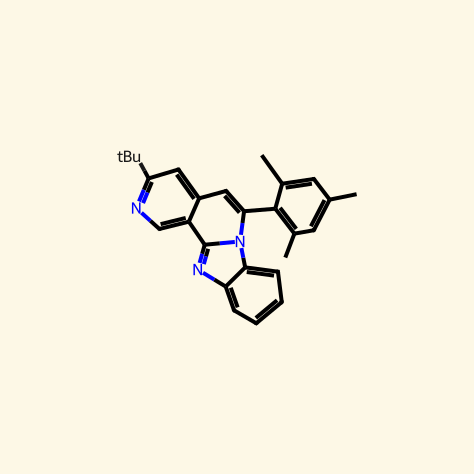 Cc1cc(C)c(-c2cc3cc(C(C)(C)C)ncc3c3nc4ccccc4n23)c(C)c1